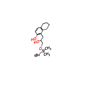 CC(C)(C)[Si](C)(C)OCC(O)Cc1c(O)ccc2c1CCCC2